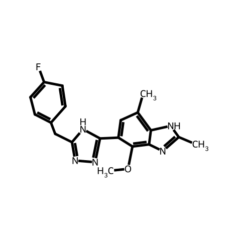 COc1c(-c2nnc(Cc3ccc(F)cc3)[nH]2)cc(C)c2[nH]c(C)nc12